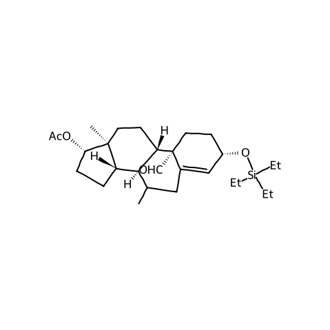 CC[Si](CC)(CC)O[C@@H]1C=C2CC(C)[C@H]3[C@@H]4CC[C@H](OC(C)=O)[C@@]4(C)CC[C@@H]3[C@@]2(C=O)CC1